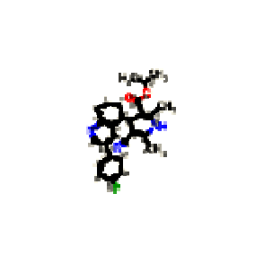 CC1=C(C#N)C(c2cccc3ncc(-c4ccc(F)cc4)cc23)C(C(=O)OC(C)C)=C(C)N1